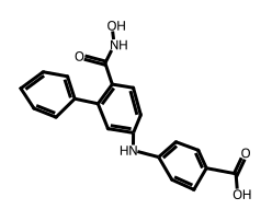 O=C(O)c1ccc(Nc2ccc(C(=O)NO)c(-c3ccccc3)c2)cc1